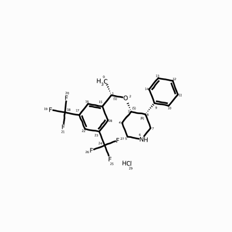 C[C@H](O[C@H]1CCNC[C@H]1c1ccccc1)c1cc(C(F)(F)F)cc(C(F)(F)F)c1.Cl